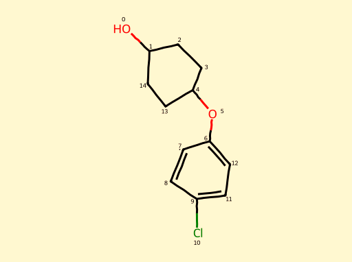 OC1CCC(Oc2[c]cc(Cl)cc2)CC1